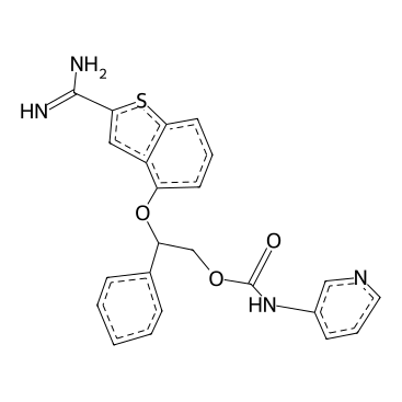 N=C(N)c1cc2c(OC(COC(=O)Nc3cccnc3)c3ccccc3)cccc2s1